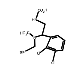 CC(C)(C)CN(C(=O)O)C(CNC(=O)O)c1cccc(Cl)c1Cl